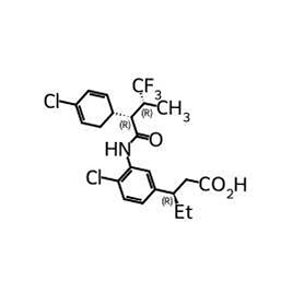 CC[C@H](CC(=O)O)c1ccc(Cl)c(NC(=O)[C@H](C2C=CC(Cl)=CC2)[C@@H](C)C(F)(F)F)c1